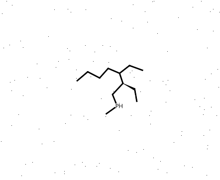 CCCCC(CC)[C@@H](CC)CPC